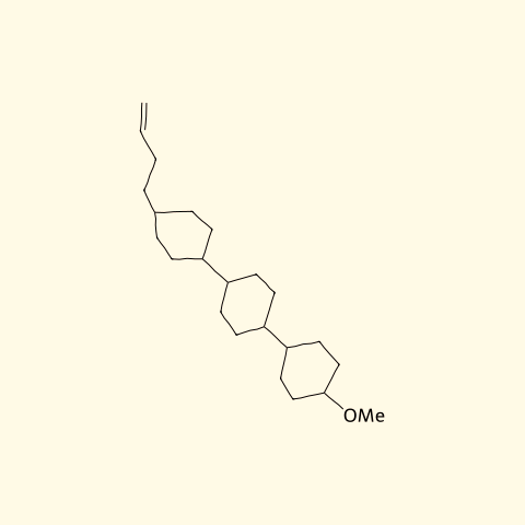 C=CCCC1CCC(C2CCC(C3CCC(OC)CC3)CC2)CC1